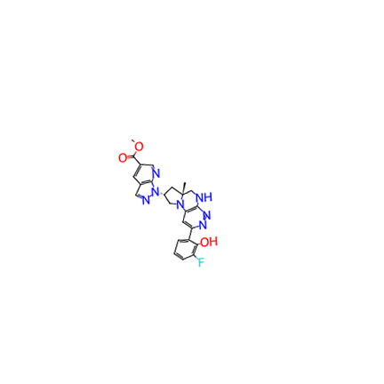 COC(=O)c1cnc2c(cnn2[C@H]2CN3c4cc(-c5cccc(F)c5O)nnc4NC[C@@]3(C)C2)c1